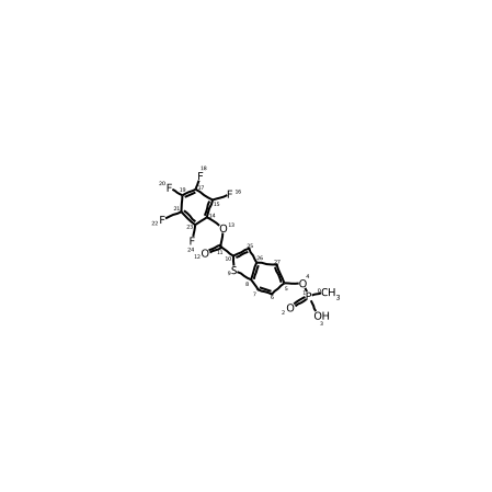 CP(=O)(O)Oc1ccc2sc(C(=O)Oc3c(F)c(F)c(F)c(F)c3F)cc2c1